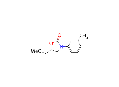 COCC1CN(c2cccc(C)c2)C(=O)O1